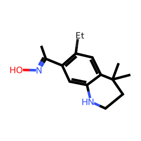 CCc1cc2c(cc1/C(C)=N/O)NCCC2(C)C